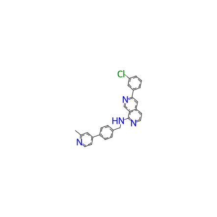 Cc1cc(-c2ccc(CNc3nccc4cc(-c5cccc(Cl)c5)ncc34)cc2)ccn1